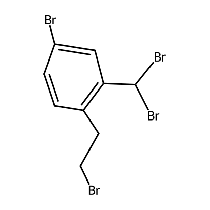 BrCCc1ccc(Br)cc1C(Br)Br